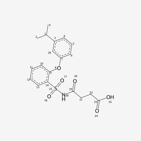 CC(C)c1cccc(Oc2ccccc2S(=O)(=O)NC(=O)CCC(=O)O)c1